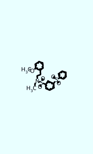 CCN(CCc1ccccc1OC)S(=O)(=O)c1cccc(S(=O)(=O)c2ccccc2)c1